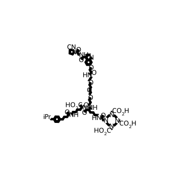 CC(C)Cc1ccc(CCCC(=O)NCCCCC(NC(=O)C(CCCCNC(=O)CN2CCN(CC(=O)O)CCN(CC(=O)O)CCN(CC(=O)O)CC2)NC(=O)CCOCCOCCOCCNC(=O)COc2ccc3c(C(=O)NCC(=O)N4CCCC4C#N)ccnc3c2)C(=O)O)cc1